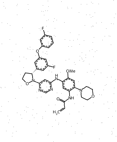 C=CC(=O)Nc1cc(Nc2cc(N3OCC[C@@H]3c3cc(F)cc(Oc4cccc(F)c4)c3)ncn2)c(OC)cc1N1CCOCC1